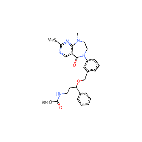 COC(=O)NCCC(OCc1cccc(N2CCN(C)c3nc(SC)ncc3C2=O)c1)c1ccccc1